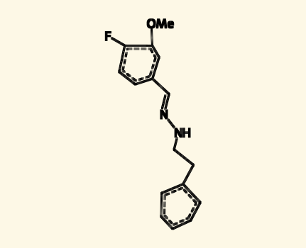 COc1cc(/C=N/NCCc2ccccc2)ccc1F